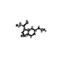 CSc1ccc2[nH]cc(C(C)=O)c2c1